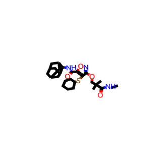 CCNC(=O)C(C)(C)COc1noc(C(=O)NC2C3CC4CC(C3)CC2C4)c1SC1CCCCC1